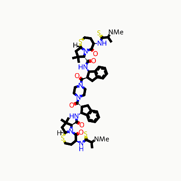 CNC(C)C(=S)N[C@H]1CCS[C@H]2CC(C)(C)[C@@H](C(=O)N[C@H]3c4ccccc4C[C@H]3C(=O)N3CCN(C(=O)[C@@H]4Cc5ccccc5[C@@H]4NC(=O)[C@H]4N5C(=O)[C@@H](NC(=S)C(C)NC)CCS[C@H]5CC4(C)C)CC3)N2C1=O